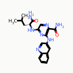 CC(C)C[C@@H](Nc1cnc(C(N)=O)c(Nc2cnc3ccccc3c2)n1)C(N)=O